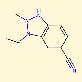 CCN1c2cc(C#N)ccc2NN1C